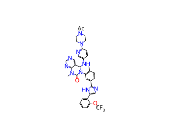 CC(=O)N1CCN(c2ccc(NC3c4cncnc4N(C)C(=O)N3c3cc(-c4ncc(-c5ccccc5OC(F)(F)F)[nH]4)ccc3C)cn2)CC1